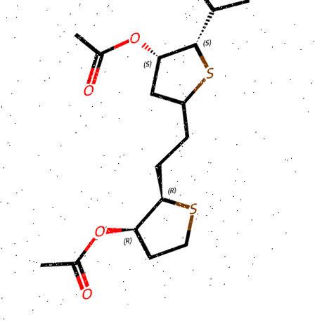 CC(=O)O[C@H]1CC(CC[C@H]2SCC[C@H]2OC(C)=O)S[C@H]1C(C)C